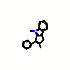 CC1=C(c2ccccc2)c2c(c3ccccc3n2C)C1